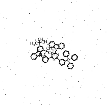 CC(C)(C)c1cc(C(C)(C)C)c2c(c1)c1ccccc1n2-c1cccc(-c2nc(-c3cccc(S(c4ccccc4)(c4ccccc4)c4ccccc4)c3)nc(-n3c4ccccc4c4ccccc43)n2)c1